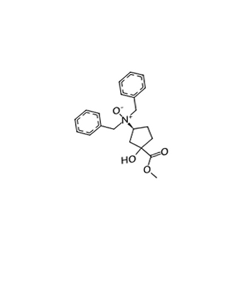 COC(=O)C1(O)CC[C@H]([N+]([O-])(Cc2ccccc2)Cc2ccccc2)C1